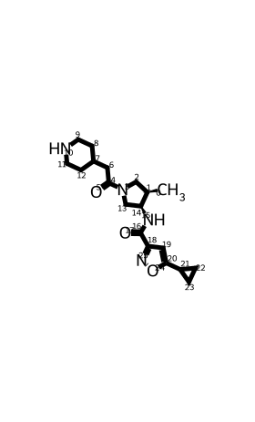 C[C@@H]1CN(C(=O)CC2CCNCC2)C[C@@H]1NC(=O)c1cc(C2CC2)on1